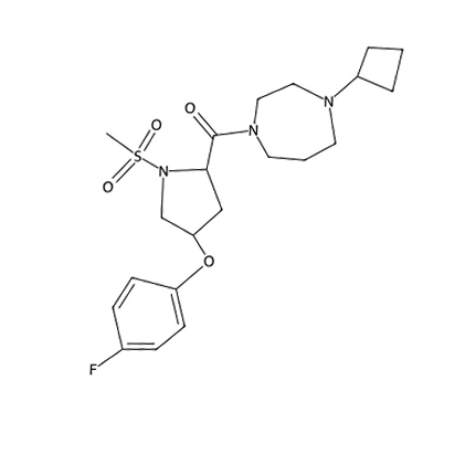 CS(=O)(=O)N1CC(Oc2ccc(F)cc2)CC1C(=O)N1CCCN(C2CCC2)CC1